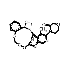 Cc1c(N2CCOCC2=O)ncc2nc3nc(c12)N[C@H](C)c1ccccc1OCCO3